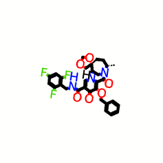 C[C@H]1CC[C@]2(COCO2)[C@H]2CN1C(=O)c1c(OCc3ccccc3)c(=O)c(C(=O)NCc3c(F)cc(F)cc3F)cn12